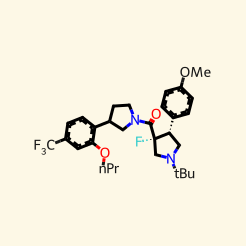 CCCOc1cc(C(F)(F)F)ccc1C1CCN(C(=O)[C@]2(F)CN(C(C)(C)C)C[C@H]2c2ccc(OC)cc2)C1